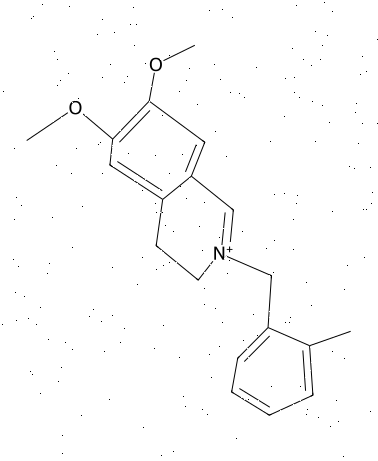 COc1cc2c(cc1OC)CC[N+](Cc1ccccc1C)=C2